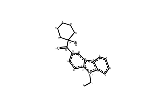 CCn1c2ccccc2c2cc(C(=O)C3(Br)CCCCC3)ccc21